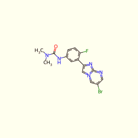 CN(C)C(=O)Nc1ccc(F)c(-c2cn3cc(Br)cnc3n2)c1